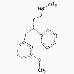 CNCCC(Cc1cccc(OC)c1)c1ccccc1